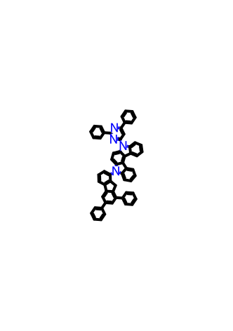 c1ccc(-c2cc(-c3ccccc3)c3c(c2)-c2cccc(-n4c5ccccc5c5c6c7ccccc7n(-c7cc(-c8ccccc8)nc(-c8ccccc8)n7)c6ccc54)c2C3)cc1